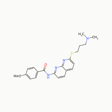 COc1ccc(C(=O)Nc2ccc3ccc(SCCCN(C)C)nc3n2)cc1